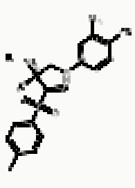 C[C@@](N)(CNc1ccc(C#N)c(C(F)(F)F)c1)C(=O)S(=O)(=O)c1ccc(F)cc1.Cl